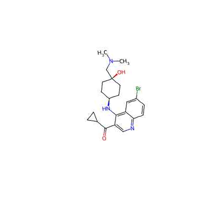 CN(C)C[C@]1(O)CC[C@@H](Nc2c(C(=O)C3CC3)cnc3ccc(Br)cc23)CC1